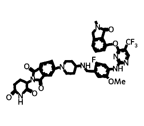 COc1cc(CNC2CCN(c3ccc4c(c3)C(=O)N(C3CCC(=O)NC3=O)C4=O)CC2)c(F)cc1Nc1ncc(C(F)(F)F)c(Oc2cccc3c2C(=O)N(C)C3)n1